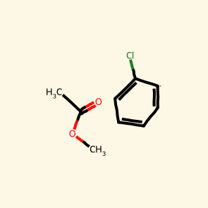 COC(C)=O.Clc1[c]cccc1